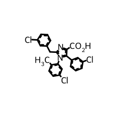 Cc1ccc(Cl)cc1-n1c(Cc2cccc(Cl)c2)nc(C(=O)O)c1-c1cccc(Cl)c1